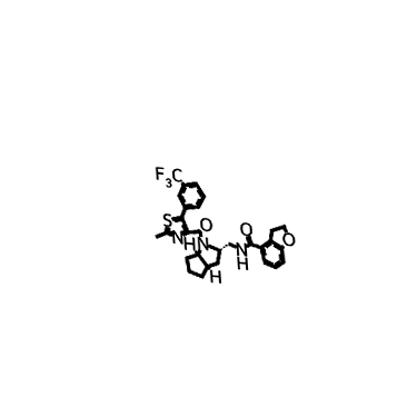 Cc1nc(C(=O)N2[C@H](CNC(=O)c3cccc4c3CCO4)C[C@@H]3CCC[C@@H]32)c(-c2cccc(C(F)(F)F)c2)s1